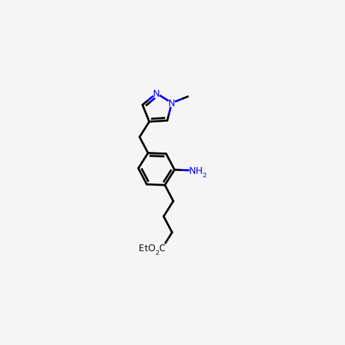 CCOC(=O)CCCc1ccc(Cc2cnn(C)c2)cc1N